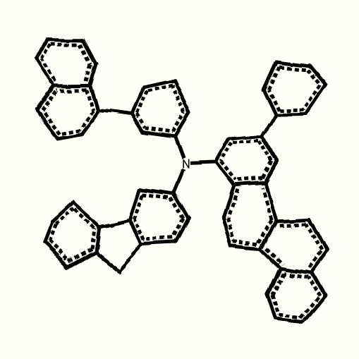 c1ccc(-c2cc(N(c3cccc(-c4cccc5ccccc45)c3)c3ccc4c(c3)-c3ccccc3C4)c3ccc4c5ccccc5ccc4c3c2)cc1